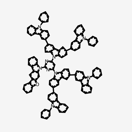 c1ccc(-n2c3ccccc3c3cc(-c4ccc5c(c4)c4cc(-c6ccc7c(c6)c6ccccc6n7-c6ccccc6)ccc4n5-c4cc(-n5c6ccc(-c7ccc8c(c7)c7ccccc7n8-c7ccccc7)cc6c6cc(-c7ccc8c(c7)c7ccccc7n8-c7ccccc7)ccc65)nc(-n5c6ccccc6c6cc7c(cc65)oc5ccccc57)n4)ccc32)cc1